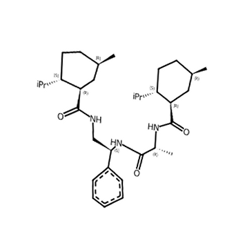 CC(C)[C@@H]1CC[C@@H](C)C[C@H]1C(=O)NC[C@@H](NC(=O)[C@@H](C)NC(=O)[C@@H]1C[C@H](C)CC[C@H]1C(C)C)c1ccccc1